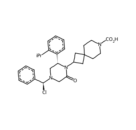 CC(C)c1ccccc1[C@H]1CN([C@@H](Cl)c2ccccc2)CC(=O)N1C1CC2(CCN(C(=O)O)CC2)C1